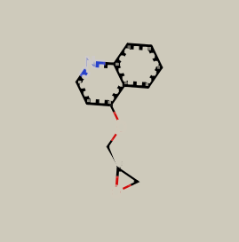 c1ccc2c(OC[C@H]3CO3)ccnc2c1